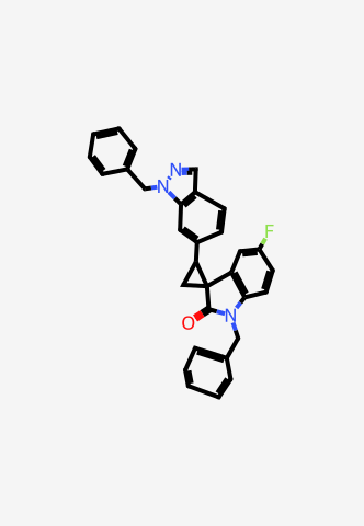 O=C1N(Cc2ccccc2)c2ccc(F)cc2C12CC2c1ccc2cnn(Cc3ccccc3)c2c1